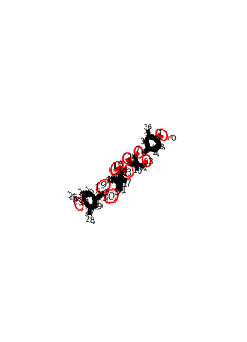 COc1ccc(C2OCC(C)(C(=O)OC(=O)C3(C)COC(c4ccc(OC)c(C)c4)OC3)CO2)cc1C